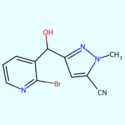 Cn1nc(C(O)c2cccnc2Br)cc1C#N